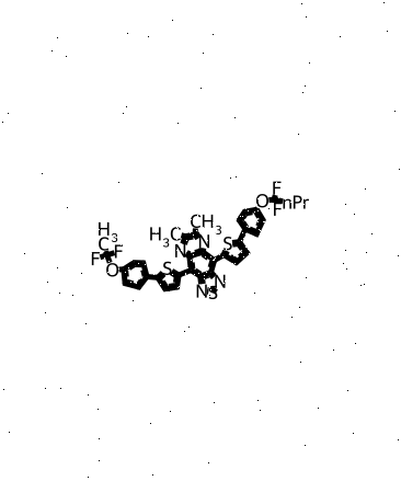 CCCC(F)(F)Oc1ccc(-c2ccc(-c3c4nsnc4c(-c4ccc(-c5ccc(OC(C)(F)F)cc5)s4)c4nc(C)c(C)nc34)s2)cc1